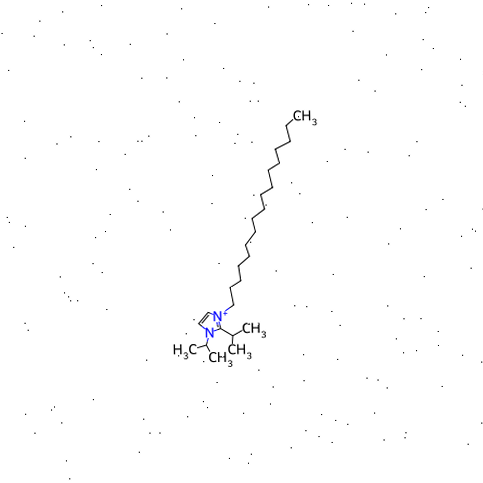 CCCCCCCCCCCCCCCCC[n+]1ccn(C(C)C)c1C(C)C